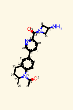 CC(=O)N1c2ccc(-c3ccc(C(=O)N4CC(N)C4)nc3)cc2CC[C@@H]1C